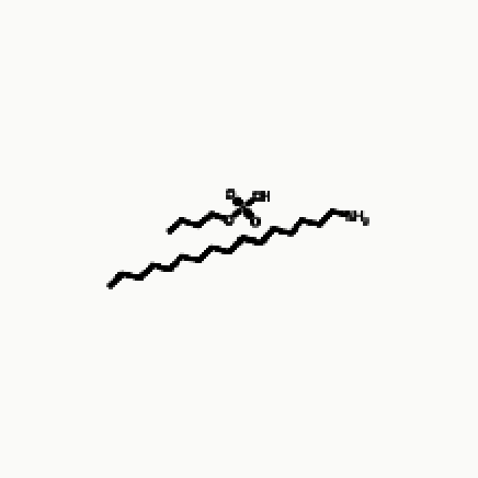 CCCCCCCCCCCCCCCCN.CCCCOS(=O)(=O)O